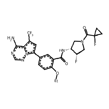 CCOc1ccc(-c2cc(C(F)(F)F)c3c(N)ncnn23)cc1C(=O)N[C@@H]1CN(C(=O)C2(F)CC2)C[C@@H]1F